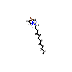 CCCCCCCCCCCC[N+]1=CSCC1